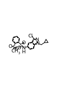 CS(=O)(=O)c1ccccc1S(=O)(=O)Nc1ccc2c(c1)c(Cl)nn2CC1CC1